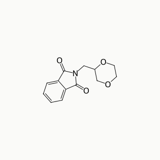 O=C1c2ccccc2C(=O)N1CC1COCCO1